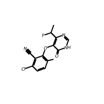 Cc1ccc(Cl)c(C#N)c1Oc1c(C(C)F)nc[nH]c1=O